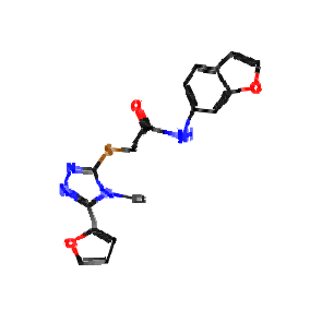 CCn1c(SCC(=O)Nc2ccc3ccoc3c2)nnc1-c1ccco1